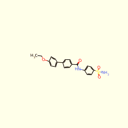 CCOc1ccc(-c2ccc(C(=O)Nc3ccc(S(N)(=O)=O)cc3)cc2)cc1